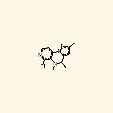 Cc1cc2n(n1)-c1ccnc(Cl)c1N(C)C2C